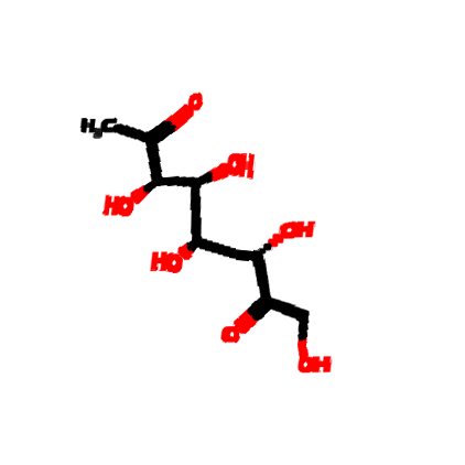 CC(=O)[C@H](O)[C@@H](O)[C@H](O)[C@H](O)C(=O)CO